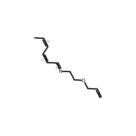 C=CCOCC/N=C/C=C\C=C/C